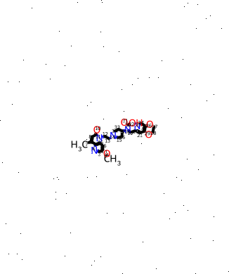 COc1cnc2c(C)cc(=O)n(CCN3CCC(N(Cc4cc5c(cn4)OCCO5)C(=O)O)CC3)c2c1